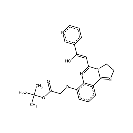 CC(C)(C)OC(=O)COc1cccc2c1N=C(/C=C(\O)c1cccnc1)N1CCN=C21